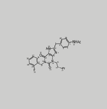 CC(=O)Nc1ccc(Cc2nc3c([nH]2)c(=O)n(Cc2ccccc2F)c(=O)n3CCC(C)C)cc1